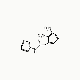 O=C(Cc1cccc([N+](=O)[O-])c1[N+](=O)[O-])Nc1ccccc1